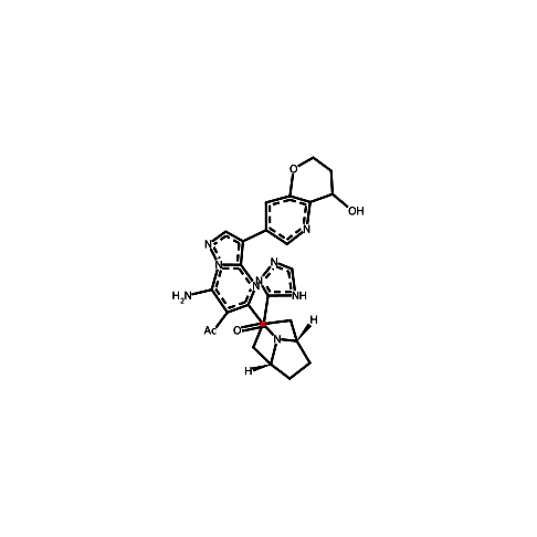 CC(=O)c1c(C2C[C@H]3CC[C@@H](C2)N3C(=O)c2nnc[nH]2)nc2c(-c3cnc4c(c3)OCCC4O)cnn2c1N